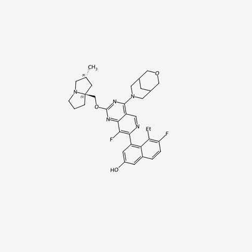 CCc1c(F)ccc2cc(O)cc(-c3ncc4c(N5CC6COCC(C6)C5)nc(OC[C@@]56CCCN5C[C@H](C)C6)nc4c3F)c12